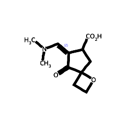 CN(C)/C=C1\C(=O)C2(CCO2)CC1C(=O)O